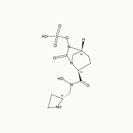 O=C([C@@H]1CC[C@@H]2CN1C(=O)N2OS(=O)(=O)O)N(O)C[C@H]1CCN1